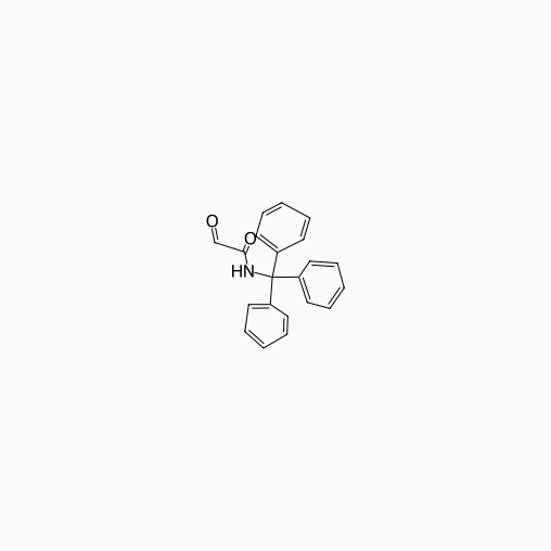 O=CC(=O)NC(c1ccccc1)(c1ccccc1)c1ccccc1